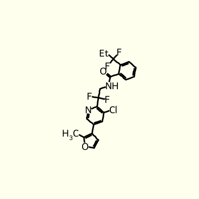 CCC(F)(F)c1ccccc1C(=O)NCC(F)(F)c1ncc(-c2ccoc2C)cc1Cl